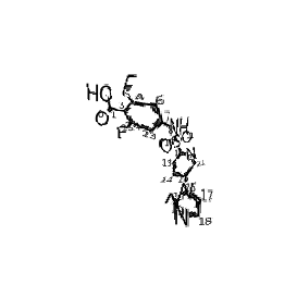 O=C(O)c1c(F)cc(NS(=O)(=O)c2ccc(-n3ccnn3)cn2)cc1F